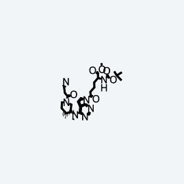 COC(=O)C(CCCC(=O)n1ccc2c(N(C)[C@H]3CN(C(=O)CC#N)CC[C@H]3C)ncnc21)NC(=O)OC(C)(C)C